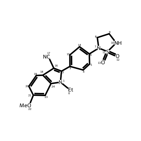 CCn1c(-c2ccc(N3CCNS3(=O)=O)cc2)c(C#N)c2ccc(OC)cc21